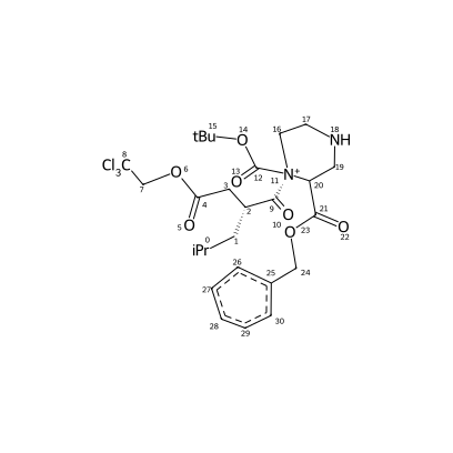 CC(C)C[C@H](CC(=O)OCC(Cl)(Cl)Cl)C(=O)[N@+]1(C(=O)OC(C)(C)C)CCNCC1C(=O)OCc1ccccc1